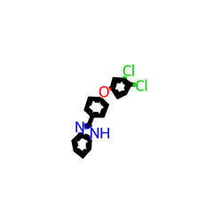 Clc1ccc(Oc2ccc(-c3nc4ccccc4[nH]3)cc2)cc1Cl